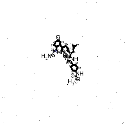 COC(=O)Nc1ccc(-c2cnc(C(CC3CC3)c3ccc(-c4cc(Cl)ccc4/C(N)=C/SN)c[n+]3O)[nH]2)cc1